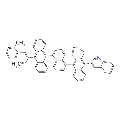 C=C/C(=C\c1ccccc1C)c1c2ccccc2c(-c2cccc3c(-c4c5ccccc5c(-c5cnc6ccccc6c5)c5ccccc45)cccc23)c2ccccc12